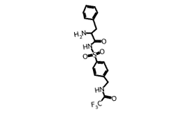 NC(Cc1ccccc1)C(=O)NS(=O)(=O)c1ccc(CNC(=O)C(F)(F)F)cc1